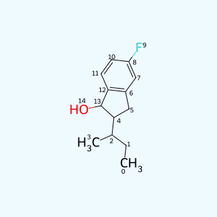 CCC(C)C1Cc2cc(F)ccc2C1O